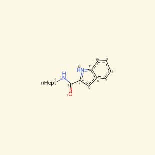 CCCCCCCNC(=O)c1cc2ccccc2[nH]1